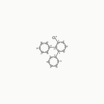 Clc1cc[c]c(-c2ccccc2)c1-c1ccccc1